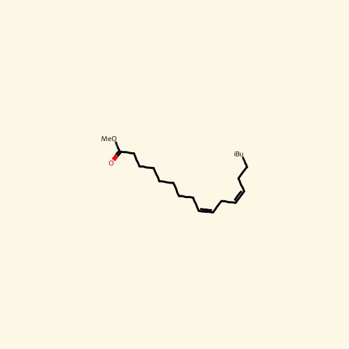 CCC(C)CC/C=C\C/C=C\CCCCCCCC(=O)OC